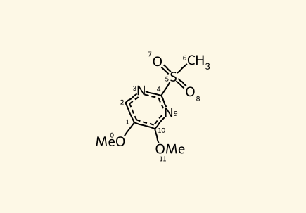 COc1cnc(S(C)(=O)=O)nc1OC